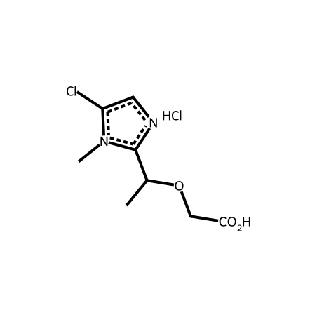 CC(OCC(=O)O)c1ncc(Cl)n1C.Cl